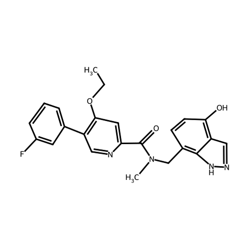 CCOc1cc(C(=O)N(C)Cc2ccc(O)c3cn[nH]c23)ncc1-c1cccc(F)c1